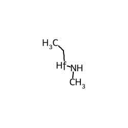 C[CH2][Hf][NH]C